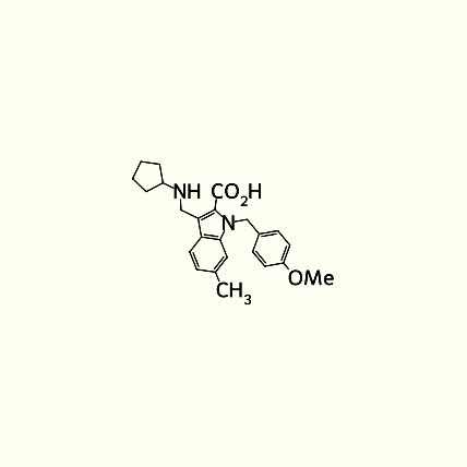 COc1ccc(Cn2c(C(=O)O)c(CNC3CCCC3)c3ccc(C)cc32)cc1